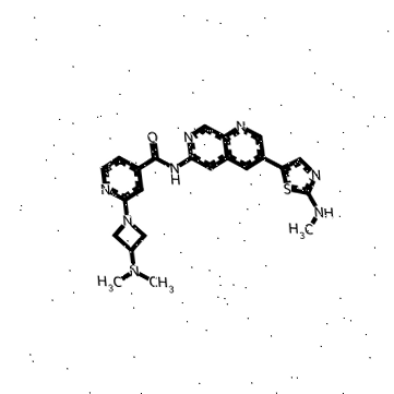 CNc1ncc(-c2cnc3cnc(NC(=O)c4ccnc(N5CC(N(C)C)C5)c4)cc3c2)s1